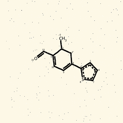 CC1CC(c2cccs2)=CC=C1C=O